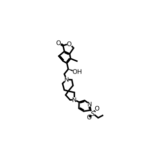 CCS(=O)(=O)c1ccc(N2CCC3(CCN(C[C@H](O)c4ccc5c(c4C)COC5=O)CC3)C2)cn1